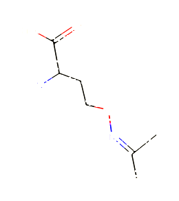 CC(C)=NOCCC(N)C(=O)O